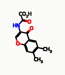 Cc1cc2occ(NC(=O)C(=O)O)c(=O)c2cc1C